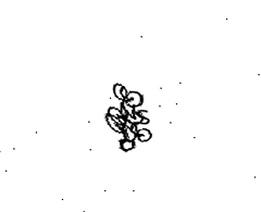 COC(=O)CN1CSC=C(N2C(=O)c3ccccc3C2=O)C1=O